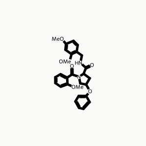 COc1ccc(CNC(=O)C2CC(Oc3ccccc3)CN2C(=O)c2ccccc2OC)c(OC)c1